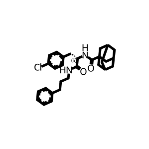 O=C(NCCCc1ccccc1)[C@H](Cc1ccc(Cl)cc1)NC(=O)C12CC3CC(CC(C3)C1)C2